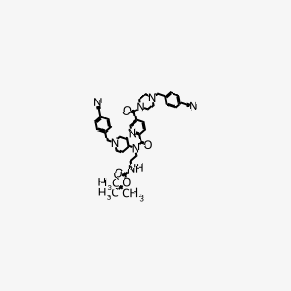 CC(C)(C)OC(=O)NCCN(C(=O)c1ccc(C(=O)N2CCN(Cc3ccc(C#N)cc3)CC2)cn1)C1CCN(Cc2ccc(C#N)cc2)CC1